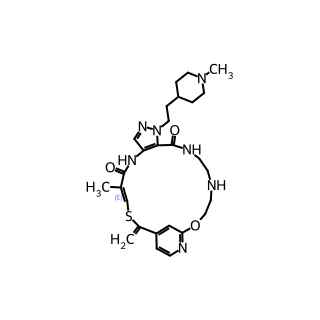 C=C1S/C=C(\C)C(=O)Nc2cnn(CCC3CCN(C)CC3)c2C(=O)NCCNCCOc2cc1ccn2